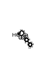 O=C1C(S(=O)(=O)c2ccc(-c3ccccc3)cc2)CCCCN1O